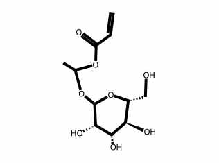 C=CC(=O)OC(C)OC1O[C@H](CO)[C@@H](O)[C@H](O)[C@@H]1O